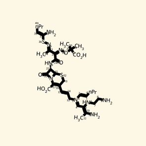 CCC/C=C/[N+](=C\C(NCCN)=C(/C)N)C/C=C/C1=C(C(=O)O)N2C(=O)[C@@H](NC(=O)C(=N\OC(C)(C)C(=O)O)/C(C)=N/S/C(N)=C/CCC)C2SC1